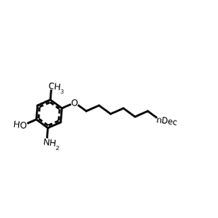 CCCCCCCCCCCCCCCCOc1cc(N)c(O)cc1C